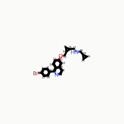 Brc1ccc(-c2nccc3cc(OCC4CC4CNCC4CC4)ccc23)cc1